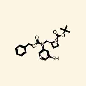 CC(C)(C)OC(=O)N1CC[C@H]1CN(C(=O)OCc1ccccc1)c1cncc(S)c1